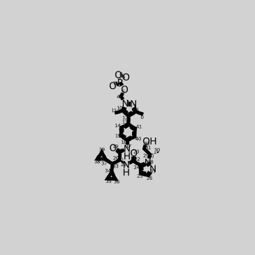 Cc1nn(COP2(=O)OO2)c(C)c1-c1ccc(NC(=O)[C@@H](NC(=O)c2ccnn2[C@@H](C)CO)C(C2CC2)C2CC2)cc1